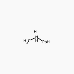 C[NH][PbH].I